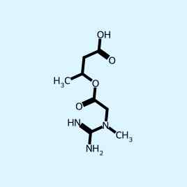 CC(CC(=O)O)OC(=O)CN(C)C(=N)N